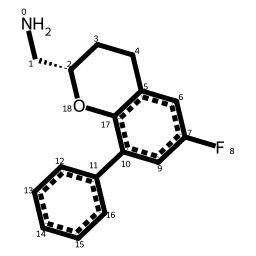 NC[C@@H]1CCc2cc(F)cc(-c3ccccc3)c2O1